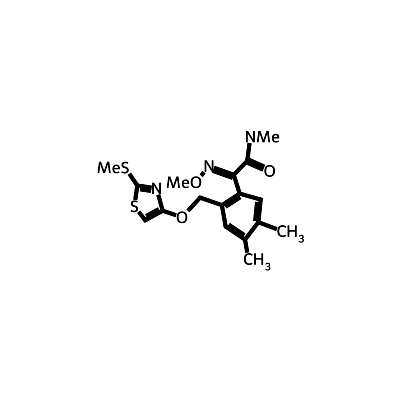 CNC(=O)/C(=N/OC)c1cc(C)c(C)cc1COc1csc(SC)n1